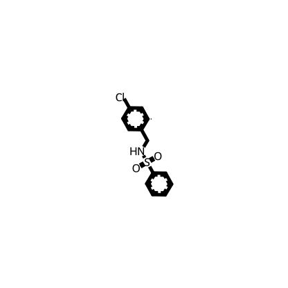 O=S(=O)(NCc1[c]cc(Cl)cc1)c1ccccc1